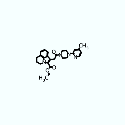 CCOC(=O)c1c(CC(=O)N2CCN(c3cc(C)ccn3)CC2)c2cccc3c2n1CCC3